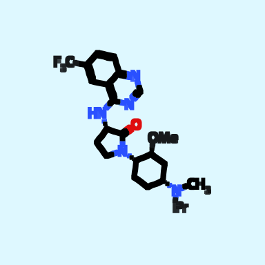 CO[C@H]1C[C@H](N(C)C(C)C)CC[C@@H]1N1CC[C@H](Nc2ncnc3ccc(C(F)(F)F)cc23)C1=O